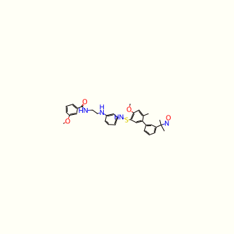 COc1cccc(C(=O)NCCNc2cccc(NSc3cc(-c4cccc(C(C)(C)N=O)c4)c(C)cc3OC)c2)c1